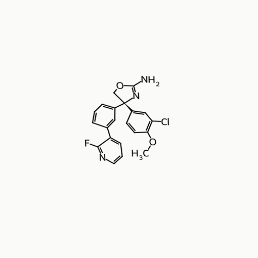 COc1ccc([C@@]2(c3cccc(-c4cccnc4F)c3)COC(N)=N2)cc1Cl